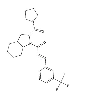 O=C(C1CC2CCCCC2N1C(=O)/C=C/c1cccc(C(F)(F)F)c1)N1CCCC1